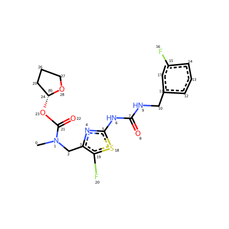 CN(Cc1nc(NC(=O)NCc2cccc(F)c2)sc1F)C(=O)O[C@@H]1CCCO1